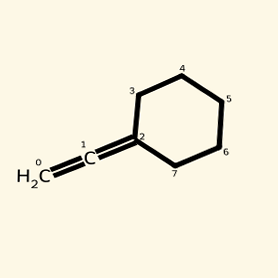 C=C=C1CCCCC1